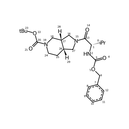 CC(C)[C@H](NC(=O)OCc1ccccc1)C(=O)N1C[C@H]2CN(C(=O)OC(C)(C)C)CC[C@H]2C1